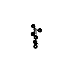 c1ccc(-c2nc(-c3ccccc3)nc(-c3cccc4c3oc3ccc(-c5ccc6c(c5)oc5ccccc56)cc34)n2)cc1